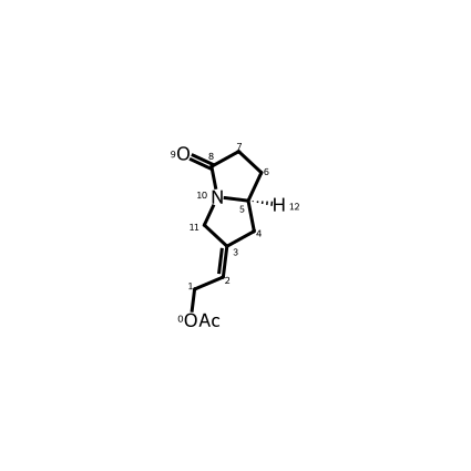 CC(=O)OCC=C1C[C@@H]2CCC(=O)N2C1